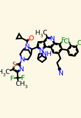 Cc1sc(N2CC3CC(C2)N(C(=O)C2CC2)C3c2cc3c(C)nc4c(F)c(-c5cccc(Cl)c5Cl)c(CCC#N)cc4c3n2C2C3CNC2C3)nc1C(C)(F)F